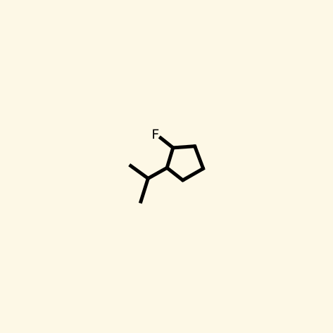 CC(C)C1CCCC1F